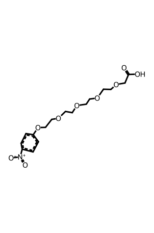 O=C(O)COCCOCCOCCOCCOc1ccc([N+](=O)[O-])cc1